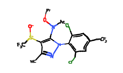 CC(=O)N(OC(C)C)c1c([S+]([O-])C(F)(F)F)c(C#N)nn1-c1c(Cl)cc(C(F)(F)F)cc1Cl